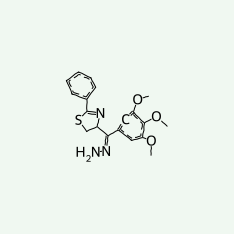 COc1cc(/C(=N/N)C2CSC(c3ccccc3)=N2)cc(OC)c1OC